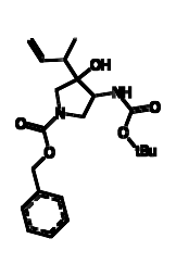 C=CC(C)C1(O)CN(C(=O)OCc2ccccc2)CC1NC(=O)OC(C)(C)C